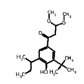 CCC(C)c1cc(C(=O)CC(OC)OC)cc(C(C)(C)C)c1O